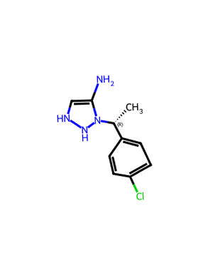 C[C@H](c1ccc(Cl)cc1)N1NNC=C1N